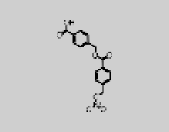 O=C(O)c1ccc(COC(=O)c2ccc(CO[N+](=O)[O-])cc2)cc1